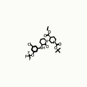 CCOC(=O)[C@H]1CCN(C(=O)OC(C)(C)C)C[C@@H]1N1CCCC(Nc2cc(Cl)cc(OC(F)(F)F)c2)C1=O